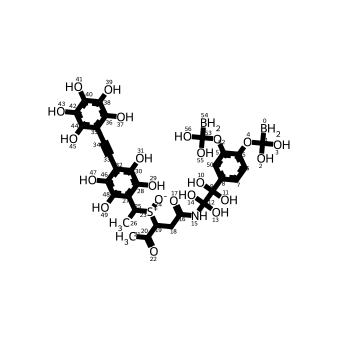 BC(O)(O)Oc1ccc(C(O)(O)C(O)(O)NC(=O)CC(C(C)=O)[S+]([O-])C(C)c2c(O)c(O)c(C#Cc3c(O)c(O)c(O)c(O)c3O)c(O)c2O)cc1OC(B)(O)O